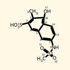 Cc1c(S(=O)(=O)O)cc2cc(NS(C)(=O)=O)ccc2c1O